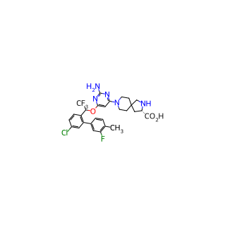 Cc1ccc(-c2cc(Cl)ccc2C(Oc2cc(N3CCC4(CC3)CN[C@H](C(=O)O)C4)nc(N)n2)C(F)(F)F)cc1F